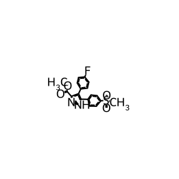 COC(=O)c1n[nH]c(-c2ccc(S(C)(=O)=O)cc2)c1-c1ccc(F)cc1